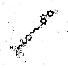 CC(C)(N)CNC(=O)CN1CCN(CCCCCOc2ccc3c(c2)ncn3-c2ccc(Cl)cc2)CC1